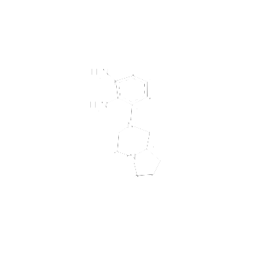 Nc1cccc(N2CCN3C(=O)CCC3C2)c1N